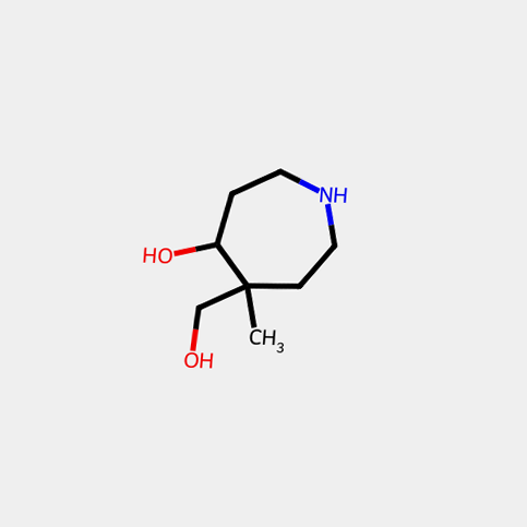 CC1(CO)CCNCCC1O